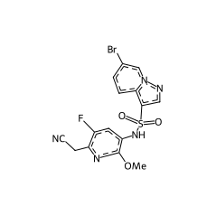 COc1nc(CC#N)c(F)cc1NS(=O)(=O)c1cnn2cc(Br)ccc12